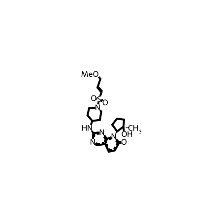 COC/C=C/S(=O)(=O)N1CCC(Nc2ncc3ccc(=O)n([C@@H]4CCC[C@@]4(C)O)c3n2)CC1